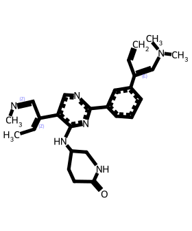 C=C/C(=C\N(C)C)c1cccc(-c2ncc(C(/C=N\C)=C/C)c(NC3CCC(=O)NC3)n2)c1